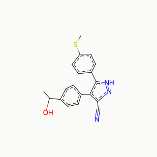 CSc1ccc(-c2[nH]nc(C#N)c2-c2ccc(C(C)O)cc2)cc1